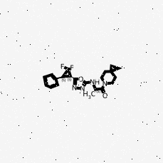 C[C@H](Nc1nnc([C@@H]2[C@@H](c3ccccc3)C2(F)F)o1)C(=O)N1CCC2(CC1)CC2